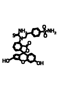 NC(=S)N(CCc1ccc(S(N)(=O)=O)cc1)c1cccc2c1C(=O)OC21c2ccc(O)cc2Oc2cc(O)ccc21